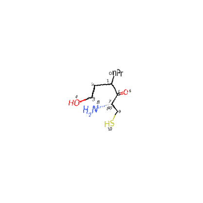 CCCC(CCO)C(=O)[C@@H](N)CS